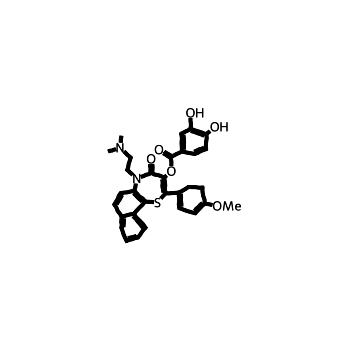 COC1=CC=C(C2=C(OC(=O)c3ccc(O)c(O)c3)C(=O)N(CCN(C)C)c3ccc4ccccc4c3S2)CC1